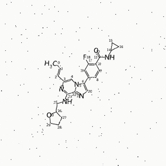 CC=Cc1cn2c(-c3ccc(C(=O)NC4CC4)c(F)c3)cnc2c(NCC2CCCO2)n1